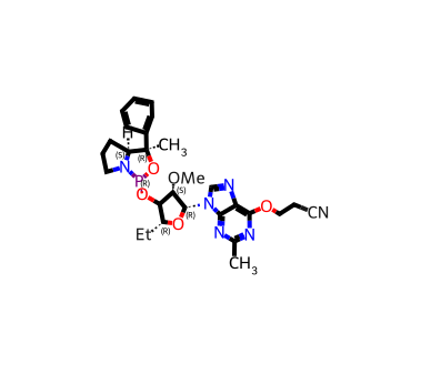 CC[C@H]1O[C@@H](n2cnc3c(OCCC#N)nc(C)nc32)[C@@H](OC)C1O[P@@]1O[C@](C)(c2ccccc2)[C@@H]2CCCN21